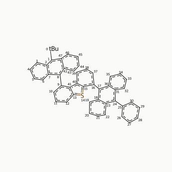 CC(C)(C)c1c2ccccc2c(-c2cccc3sc4c(-c5c6ccccc6c(-c6ccccc6)c6ccccc56)cccc4c23)c2ccccc12